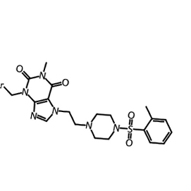 Cc1ccccc1S(=O)(=O)N1CCN(CCn2cnc3c2c(=O)n(C)c(=O)n3CC(C)C)CC1